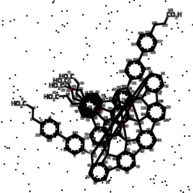 O=C(O)CCc1ccc(-c2ccc([C@]34C5=C6[C@]7(c8ccc(-c9ccc(CCC(=O)O)cc9)cc8)c8c9ccc(c83)-c3ccc8c(c34)[C@]3(c4ccc(-c%10ccc(CCC(=O)O)cc%10)cc4)C5=C4[C@@]5(c%10ccc(-c%11ccc(CCC(=O)O)cc%11)cc%10)c%10c(ccc-8c%103)-c3ccc8c(c35)[C@@](c3ccc(-c5ccc(CCC(=O)O)cc5)cc3)(c3c-8ccc-9c37)[C@@]64c3ccc(-c4ccc(CCC(=O)O)cc4)cc3)cc2)cc1